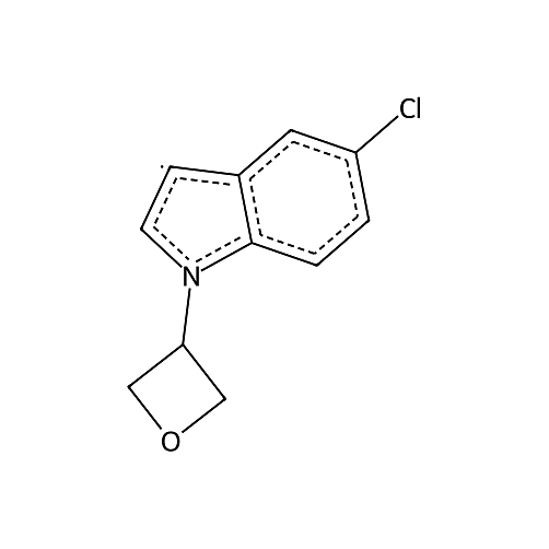 Clc1ccc2c([c]cn2C2COC2)c1